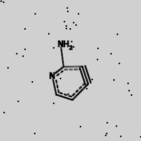 Nc1c#cccn1